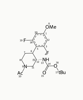 COc1cc(F)c(C2CCN(C(C)=O)C[C@H]2NC(=O)OC(C)(C)C)c(F)c1